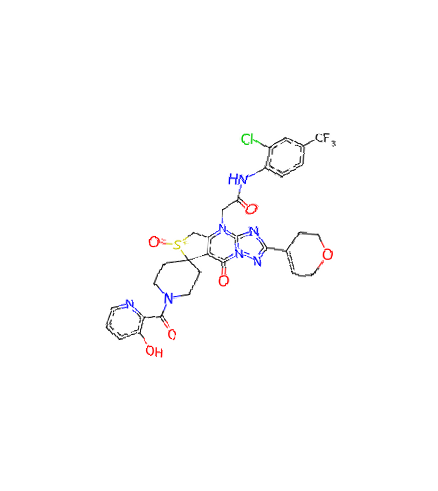 O=C(Cn1c2c(c(=O)n3nc(C4=CCOCC4)nc13)C1(CCN(C(=O)c3ncccc3O)CC1)[S+]([O-])C2)Nc1ccc(C(F)(F)F)cc1Cl